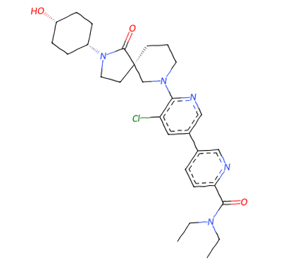 CCN(CC)C(=O)c1ccc(-c2cnc(N3CCC[C@@]4(CCN([C@H]5CC[C@@H](O)CC5)C4=O)C3)c(Cl)c2)cn1